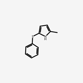 Cc1ccc(Sc2ccccc2)[nH]1